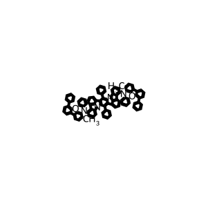 Cc1ccc2c(oc3c(-c4ccccc4)cccc32)c1N(c1ccccc1)c1cccc2c1c1cccc3c4c(-c5ccccc5)c5c(c(-c6ccccc6)c4n2c13)c1cccc2c3c(N(c4ccccc4)c4c(C)ccc6c4oc4c(-c7ccccc7)cccc46)cccc3n5c21